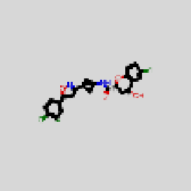 O=C(NC12CC(c3cc(-c4ccc(Cl)c(F)c4)on3)(C1)C2)[C@H]1C[C@@H](O)c2cc(Cl)ccc2O1